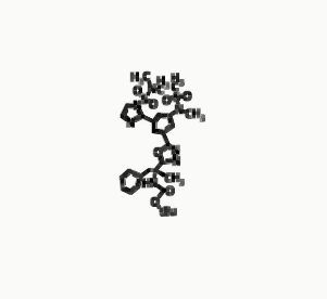 CN(c1cc(-c2nnc([C@@](C)(Cc3ccccc3)NC(=O)OC(C)(C)C)o2)cc(-c2nccn2S(=O)(=O)N(C)C)c1)S(C)(=O)=O